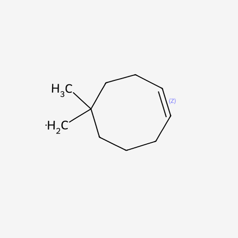 [CH2]C1(C)CC/C=C\CCC1